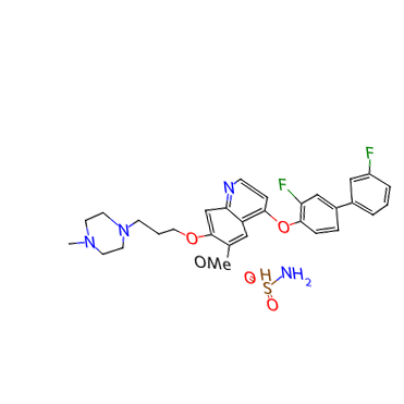 COc1cc2c(Oc3ccc(-c4cccc(F)c4)cc3F)ccnc2cc1OCCCN1CCN(C)CC1.N[SH](=O)=O